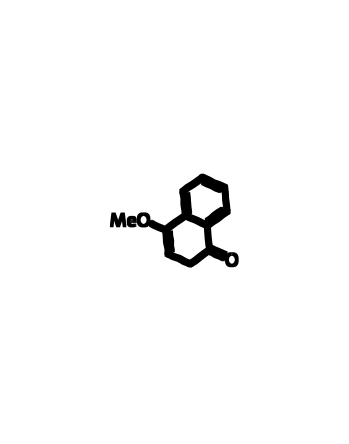 COC1=CCC(=O)c2ccccc21